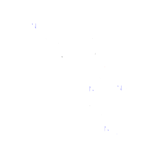 CCc1cc(Oc2ncc(N)cn2)ccc1C#N